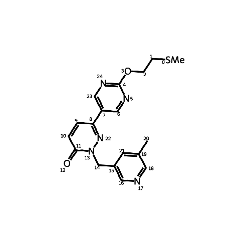 CSCCOc1ncc(-c2ccc(=O)n(Cc3cncc(C)c3)n2)cn1